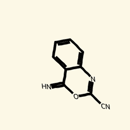 N#Cc1nc2ccccc2c(=N)o1